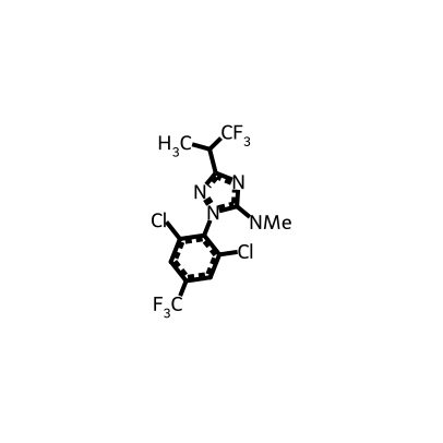 CNc1nc(C(C)C(F)(F)F)nn1-c1c(Cl)cc(C(F)(F)F)cc1Cl